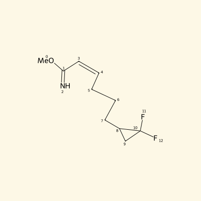 COC(=N)/C=C\CCCC1CC1(F)F